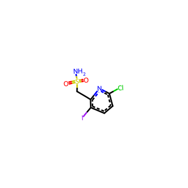 NS(=O)(=O)Cc1nc(Cl)ccc1I